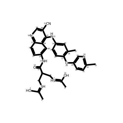 CC(O)=[SH]CC(C[SH]=C(C)O)C(=O)Nc1ccc2ncc(C#N)c(Nc3ccc(Oc4ccc(C)nc4)c(C)c3)c2c1